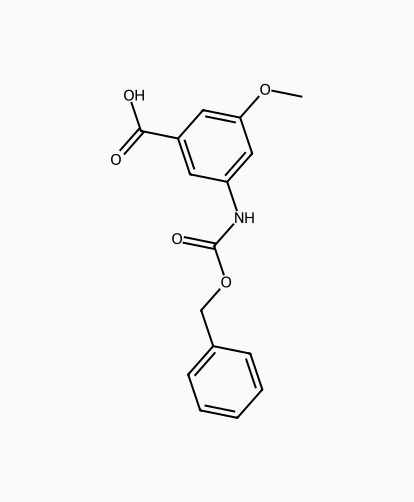 COc1cc(NC(=O)OCc2ccccc2)cc(C(=O)O)c1